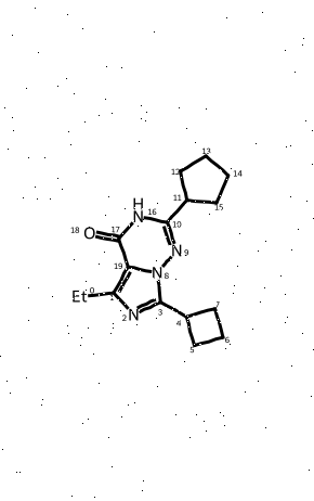 CCc1nc(C2CCC2)n2nc(C3CCCC3)[nH]c(=O)c12